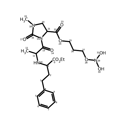 CCOC(=O)C(CCc1ccccc1)NC(C)C(=O)N1C(=O)N(C)CC1C(=O)OCCCON(O)O